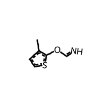 Cc1ccsc1OC=N